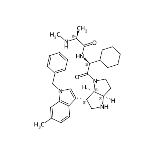 CN[C@@H](C)C(=O)N[C@H](C(=O)N1CC[C@H]2NC[C@H](c3cn(Cc4ccccc4)c4cc(C)ccc34)[C@H]21)C1CCCCC1